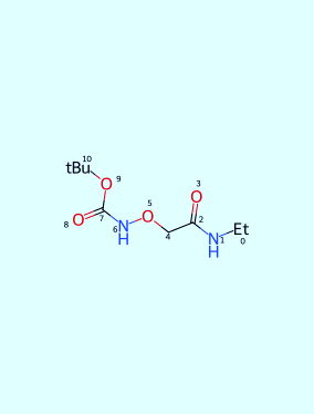 CCNC(=O)CONC(=O)OC(C)(C)C